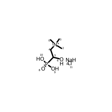 C[N+](C)(C)CC(O)P(=O)(O)O.[Cl-].[NaH]